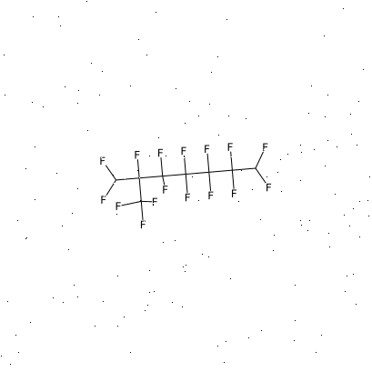 FC(F)C(F)(F)C(F)(F)C(F)(F)C(F)(F)C(F)(C(F)F)C(F)(F)F